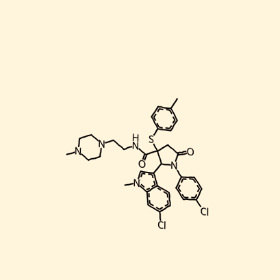 Cc1ccc(SC2(C(=O)NCCN3CCN(C)CC3)CC(=O)N(c3ccc(Cl)cc3)C2c2cn(C)c3cc(Cl)ccc23)cc1